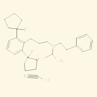 CC#N.CC(C)N(CCCc1c(C2(F)CCCC2)cccc1C1(F)CCCC1)CCc1ccccc1